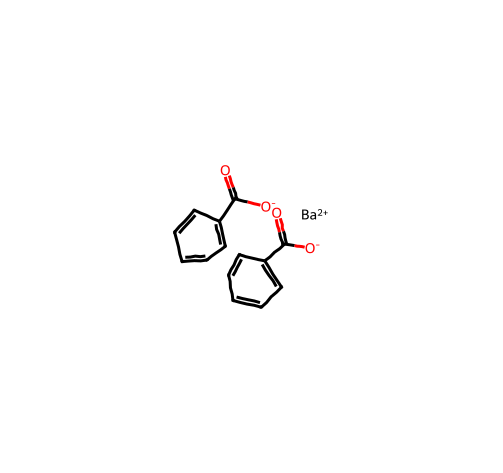 O=C([O-])c1ccccc1.O=C([O-])c1ccccc1.[Ba+2]